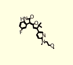 COCCN(C)c1ccc(C2=CC(=C3C(=O)Nc4ccc(F)cc43)OC2(C)C)cn1